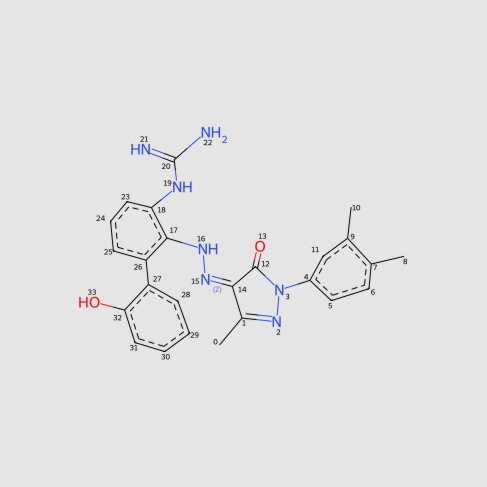 CC1=NN(c2ccc(C)c(C)c2)C(=O)/C1=N\Nc1c(NC(=N)N)cccc1-c1ccccc1O